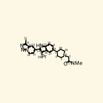 CNC(=O)CN1CCC(c2ccc3[nH]c(-c4ccn5nnc(C)c5c4)c(C(C)C)c3c2)CC1